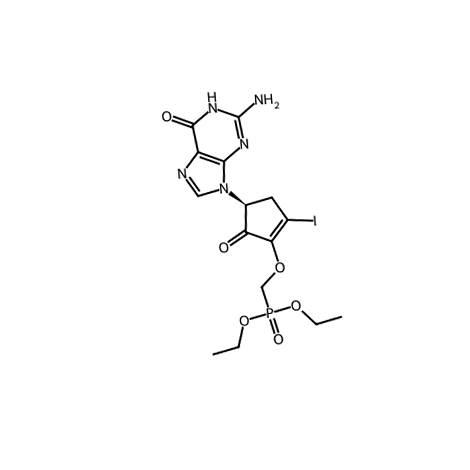 CCOP(=O)(COC1=C(I)C[C@H](n2cnc3c(=O)[nH]c(N)nc32)C1=O)OCC